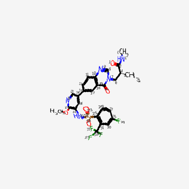 CNC(=O)[C@H](C)Cn1cnc2ccc(-c3cnc(OC)c(NS(=O)(=O)c4ccc(F)cc4C(F)(F)F)c3)cc2c1=O